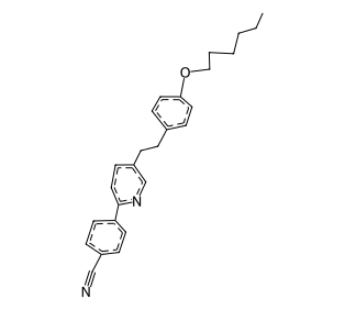 CCCCCCOc1ccc(CCc2ccc(-c3ccc(C#N)cc3)nc2)cc1